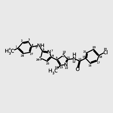 Cc1ccc(Nc2nc(-c3sc(NC(=O)c4ccc(Cl)cc4)nc3C)cs2)cc1